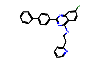 Clc1ccc2c(NCCc3ccccn3)nc(-c3ccc(-c4ccccc4)cc3)nc2c1